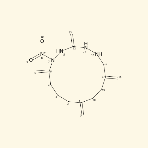 C=C1CCCC(=C)N([N+](=O)[O-])NC(=C)NNCC(=C)CC1